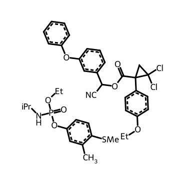 CCOP(=O)(NC(C)C)Oc1ccc(SC)c(C)c1.CCOc1ccc(C2(C(=O)OC(C#N)c3cccc(Oc4ccccc4)c3)CC2(Cl)Cl)cc1